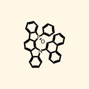 O=P1(c2ccccc2)c2ccccc2-c2ccc3c4ccccc4n(-c4cc5ccccc5c5ccccc45)c3c21